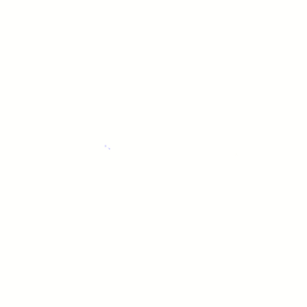 CN(C)Cc1ccc(Cl)cc1